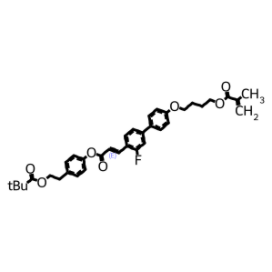 C=C(C)C(=O)OCCCCOc1ccc(-c2ccc(/C=C/C(=O)Oc3ccc(CCOC(=O)C(C)(C)C)cc3)c(F)c2)cc1